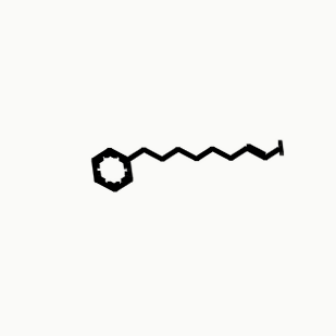 IC=CCCCCCCc1ccccc1